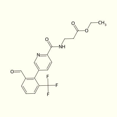 CCOC(=O)CCNC(=O)c1ccc(-c2c(C=O)cccc2C(F)(F)F)cn1